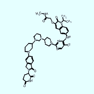 CNC(=O)COc1cc2cc(Nc3nc(N4CCC(N5CCCN(C6CCCN(c7ccc8c(c7)CN(C7CCC(=O)NC7=O)C8=O)C6)C5)CC4)ncc3Cl)ccc2n(C(C)C)c1=O